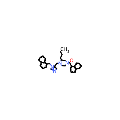 CCCCC1CN(C(=O)c2cccc3ccccc23)CCN1Cc1cncn1Cc1cccc2ccccc12